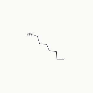 [C]=CCCCCCCCC